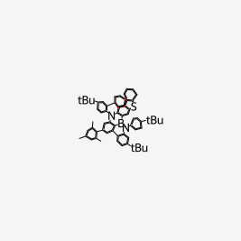 Cc1cc(C)c(-c2cc3c4c(c2)N(c2ccc(C(C)(C)C)cc2-c2ccccc2)c2cc5c(cc2B4N(c2ccc(C(C)(C)C)cc2)c2cc(C(C)(C)C)ccc2-3)sc2ccccc25)c(C)c1